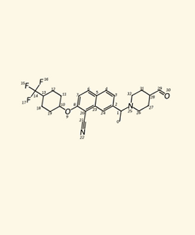 CC(c1ccc2ccc(OC3CCC(C(F)(F)F)CC3)c(C#N)c2c1)N1CCC(C=O)CC1